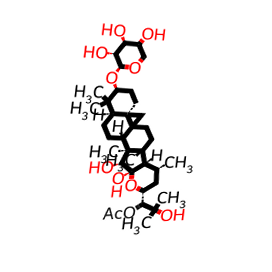 CC(=O)OC([C@H]1C[C@@H](C)[C@H]2[C@@](O)(O1)[C@H](O)[C@@]1(C)[C@@H]3CC[C@H]4C(C)(C)[C@@H](O[C@@H]5OCC(O)[C@H](O)[C@H]5O)CC[C@@]45CC35CC[C@]21C)C(C)(C)O